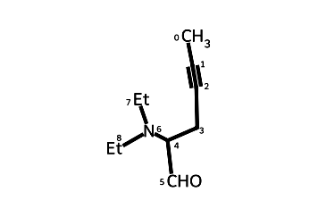 CC#CCC(C=O)N(CC)CC